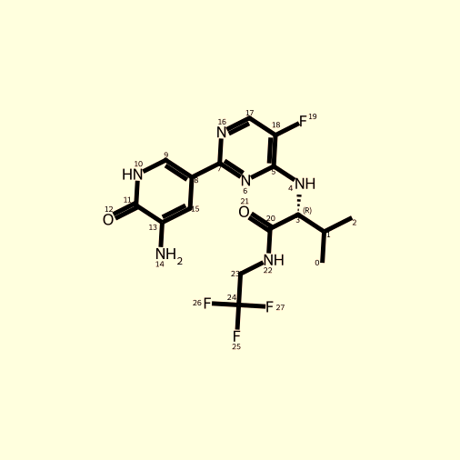 CC(C)[C@@H](Nc1nc(-c2c[nH]c(=O)c(N)c2)ncc1F)C(=O)NCC(F)(F)F